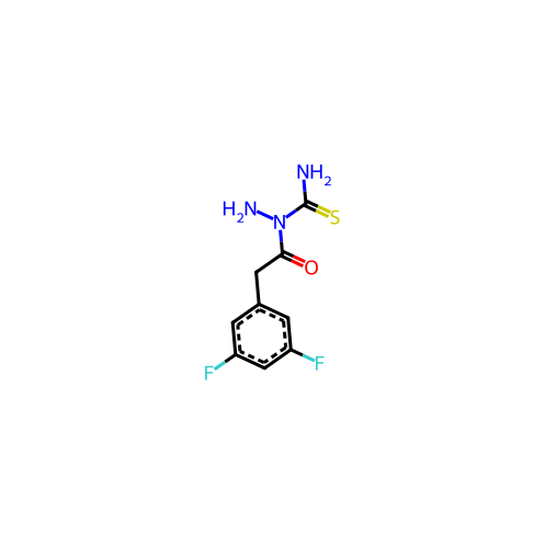 NC(=S)N(N)C(=O)Cc1cc(F)cc(F)c1